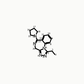 CCc1nnc2n1-c1ccccc1C(N1CCCC1)=NC2